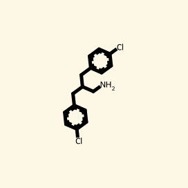 NCC(Cc1ccc(Cl)cc1)Cc1ccc(Cl)cc1